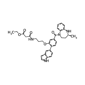 CCOC(=O)CC(=O)NCCCOc1cc(C(=O)N2CC[C@H](C)Nc3ccccc32)ccc1-c1ccc2[nH]ccc2c1